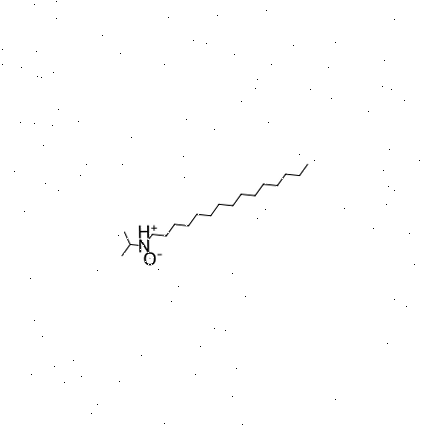 CCCCCCCCCCCCCCC[NH+]([O-])C(C)C